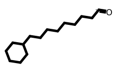 O=[C]CCCCCCCCC1CCCCC1